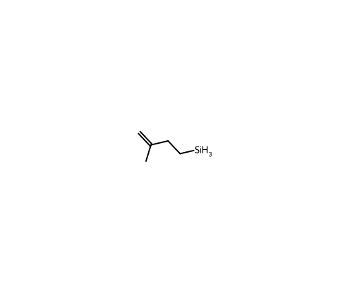 C=C(C)CC[SiH3]